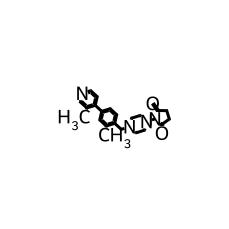 Cc1cc(-c2ccncc2C)ccc1CN1CCN(N2C(=O)CCC2=O)CC1